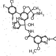 COc1cc(C(=O)NC[C@](O)(c2cc3c(c(-c4cc(Cl)c(F)cc4F)n2)OC[C@]3(C)C(N)=O)c2cnn[nH]2)cc2cn(C3CC3)nc12